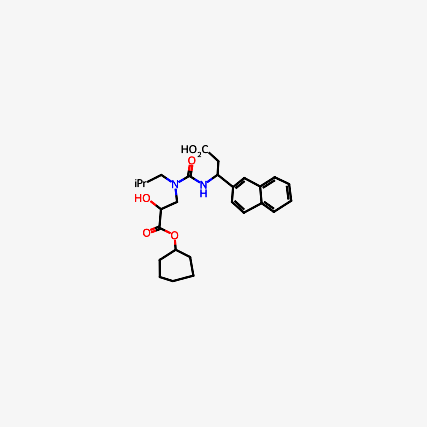 CC(C)CN(CC(O)C(=O)OC1CCCCC1)C(=O)NC(CC(=O)O)c1ccc2ccccc2c1